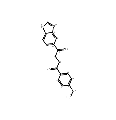 COc1ccc(C(=O)CCC(=O)c2ccc3[nH]cnc3c2)cc1